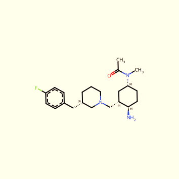 CC(=O)N(C)[C@@H]1CC[C@@H](N)[C@H](CN2CCC[C@@H](Cc3ccc(F)cc3)C2)C1